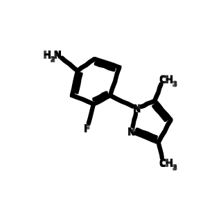 Cc1cc(C)n(-c2ccc(N)cc2F)n1